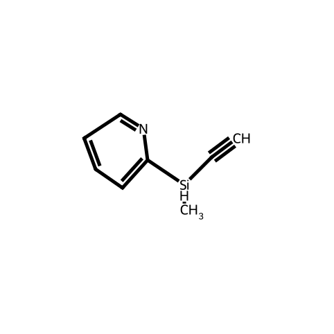 C#C[SiH](C)c1ccccn1